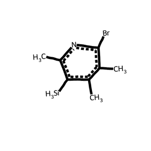 Cc1nc(Br)c(C)c(C)c1[SiH3]